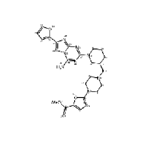 COC(=O)c1cnc(N2CCN(C[C@@H]3CCCN(c4nc(N)n5nc(-c6ccco6)nc5n4)C3)CC2)o1